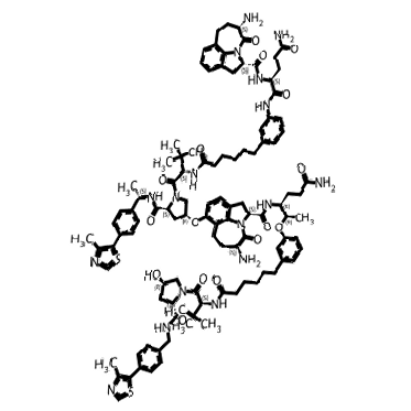 Cc1ncsc1-c1ccc(CNC(=O)[C@@H]2C[C@@H](O)CN2C(=O)[C@@H](NC(=O)CCCCCc2cccc(O[C@H](C)[C@H](CCC(N)=O)NC(=O)[C@@H]3Cc4ccc(O[C@@H]5C[C@@H](C(=O)N[C@@H](C)c6ccc(-c7scnc7C)cc6)N(C(=O)[C@@H](NC(=O)CCCCCc6cccc(NC(=O)[C@H](CCC(N)=O)NC(=O)[C@@H]7Cc8cccc9c8N7C(=O)[C@@H](N)CC9)c6)C(C)(C)C)C5)c5c4N3C(=O)[C@@H](N)CC5)c2)C(C)(C)C)cc1